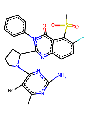 Cc1nc(N)nc(N2CCCC2c2nc3ccc(F)c(S(C)(=O)=O)c3c(=O)n2-c2ccccc2)c1C#N